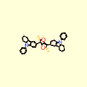 S=C1OC2=C(c3ccc4c(c3)c3ccccc3n4-c3ccccc3)C(=S)OC2=C1c1ccc2c(c1)c1ccccc1n2-c1ccccc1